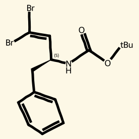 CC(C)(C)OC(=O)N[C@H](C=C(Br)Br)Cc1ccccc1